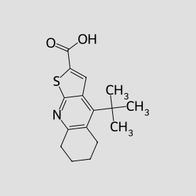 CC(C)(C)c1c2c(nc3sc(C(=O)O)cc13)CCCC2